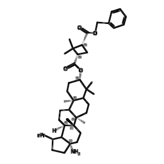 CCCC1CC[C@]2(N)CC[C@]3(C)[C@H](CCC4[C@@]5(C)CC[C@H](OC(=O)[C@H]6C[C@@H](C(=O)OCc7ccccc7)C6(C)C)C(C)(C)C5CC[C@]43C)C12